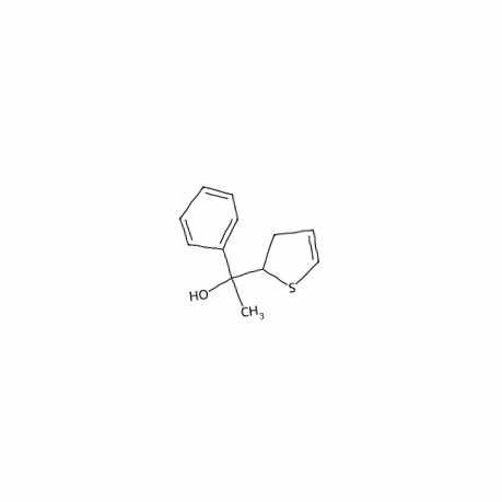 CC(O)(c1ccccc1)C1CC=CS1